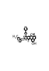 CCc1c(F)ccc2cc(O)cc(-c3c(F)cc4c(N5CC(c6ccncc6)C5)nc(OC[C@@]56CCCN5C[C@H](C)C6)nc4c3F)c12